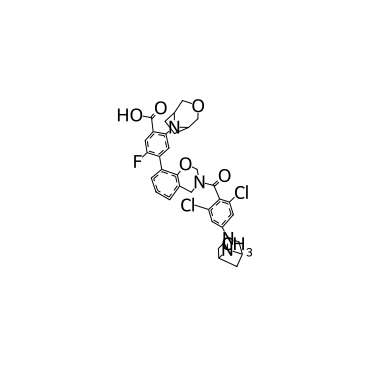 CN1C2CC1CN(c1cc(Cl)c(C(=O)N3COc4c(cccc4-c4cc(N5C6CCC5COC6)c(C(=O)O)cc4F)C3)c(Cl)c1)C2